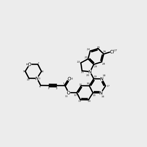 O=C(C#CCN1CCOCC1)Oc1ccc2ncnc(N3CCc4ccc(Cl)cc43)c2c1